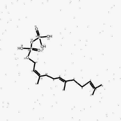 CC(C)=CCC/C(C)=C/CC/C(C)=C\COP(=O)(O)OP(=O)(O)O